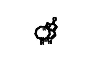 C[C@@H]1CCCCN[C@@H]2C=CC3=CC(=O)O[C@@]31C2